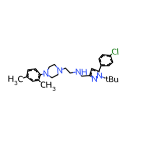 Cc1ccc(N2CCN(CCNCc3cc(-c4ccc(Cl)cc4)n(C(C)(C)C)n3)CC2)c(C)c1